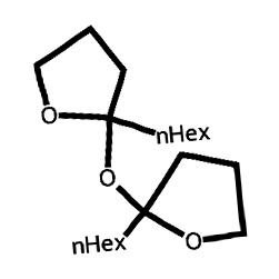 CCCCCCC1(OC2(CCCCCC)CCCO2)CCCO1